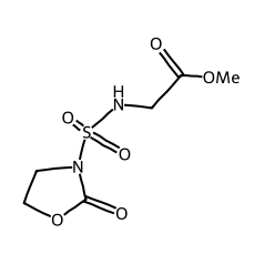 COC(=O)CNS(=O)(=O)N1CCOC1=O